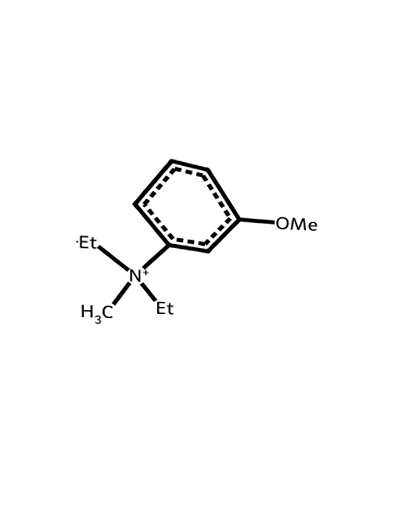 C[CH][N+](C)(CC)c1cccc(OC)c1